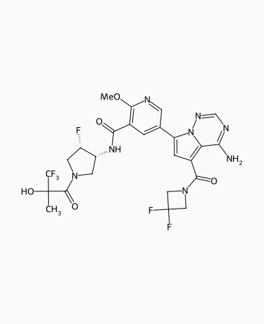 COc1ncc(-c2cc(C(=O)N3CC(F)(F)C3)c3c(N)ncnn23)cc1C(=O)N[C@@H]1CN(C(=O)C(C)(O)C(F)(F)F)C[C@@H]1F